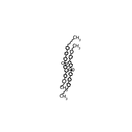 CCCCCCCc1ccc(-c2ccc(-c3ccc(C(=O)Oc4ccc5cc(-c6ccc(C7CCC(CCC)CC7)cc6)ccc5c4-c4c(OC(=O)c5ccc(-c6ccc(-c7ccc(CCCCCCC)cc7)cc6)cc5)ccc5cc(-c6ccc(C7CCC(CCC)CC7)cc6)ccc45)cc3)cc2)cc1